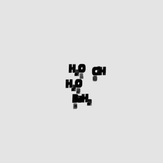 Cl.O.O.[BaH2]